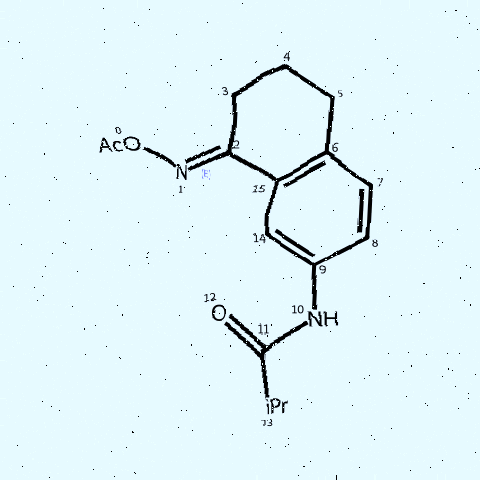 CC(=O)O/N=C1\CCCc2ccc(NC(=O)C(C)C)cc21